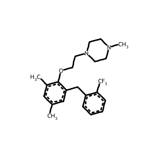 Cc1cc(C)c(OCCN2CCN(C)CC2)c(Cc2ccccc2C(F)(F)F)c1